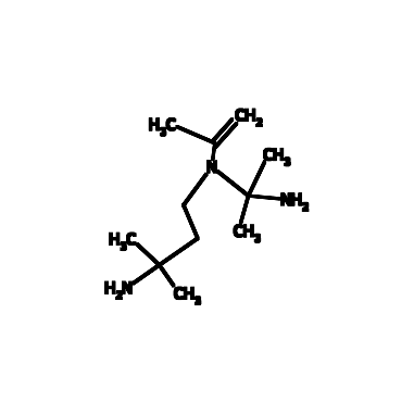 C=C(C)N(CCC(C)(C)N)C(C)(C)N